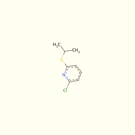 CC(C)Sc1cccc(Cl)n1